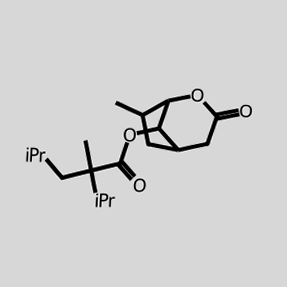 CC(C)CC(C)(C(=O)OC1C2CC(=O)OC1C(C)C2)C(C)C